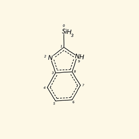 [SiH3]c1nc2ccccc2[nH]1